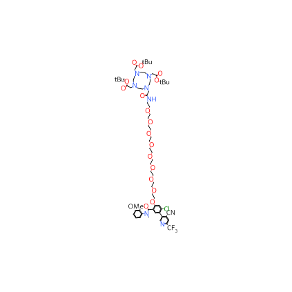 COc1ccccc1N(C)C(=O)c1cc(-c2cnc(C(F)(F)F)cc2C#N)c(Cl)cc1OCCOCCOCCOCCOCCOCCOCCOCCOCCNC(=O)CN1CCN(CC(=O)OC(C)(C)C)CCN(CC(=O)OC(C)(C)C)CCN(CC(=O)OC(C)(C)C)CC1